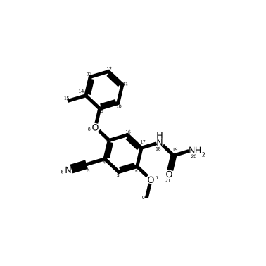 COc1cc(C#N)c(Oc2ccccc2C)cc1NC(N)=O